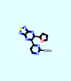 CSc1nccc(-c2nc3nsnc3nc2-c2ccco2)n1